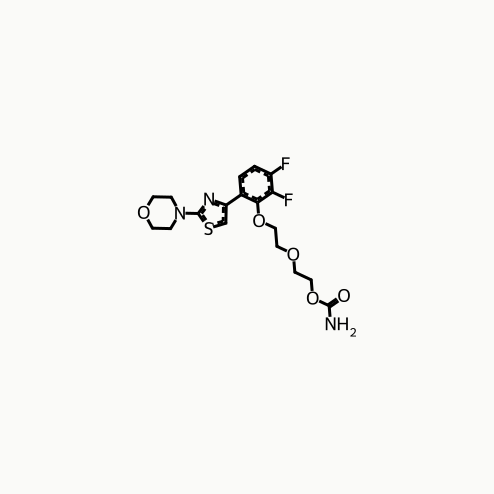 NC(=O)OCCOCCOc1c(-c2csc(N3CCOCC3)n2)ccc(F)c1F